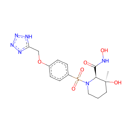 C[C@]1(O)CCCN(S(=O)(=O)c2ccc(OCc3nnn[nH]3)cc2)[C@H]1C(=O)NO